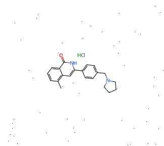 Cc1cccc2c(=O)[nH]c(-c3ccc(CN4CCCC4)cc3)cc12.Cl